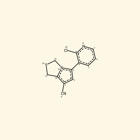 N#Cc1cc(-c2cccnc2Cl)n2c1CSC2